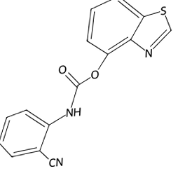 N#Cc1ccccc1NC(=O)Oc1cccc2scnc12